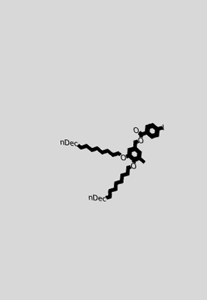 CCCCCCCCCCCCCCCCCCOc1cc(COC(=O)c2ccc(I)cc2)cc(C)c1OCCCCCCCCCCCCCCCCCC